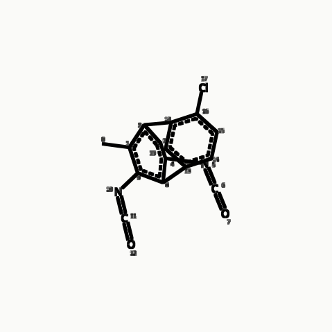 Cc1c2cc(N=C=O)c(c1N=C=O)-c1ccc(Cl)c-2c1